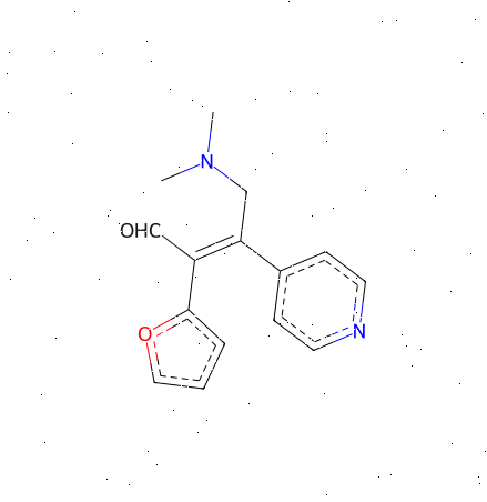 CN(C)CC(=C(C=O)c1ccco1)c1ccncc1